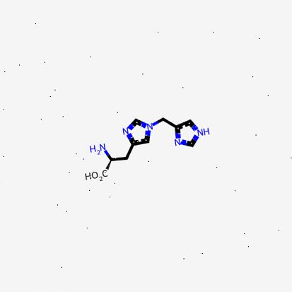 N[C@@H](Cc1cn(Cc2c[nH]cn2)cn1)C(=O)O